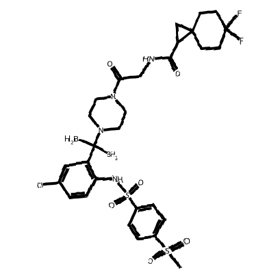 BC(B)(c1cc(Cl)ccc1NS(=O)(=O)c1ccc(S(C)(=O)=O)cc1)N1CCN(C(=O)CNC(=O)C2CC23CCC(F)(F)CC3)CC1